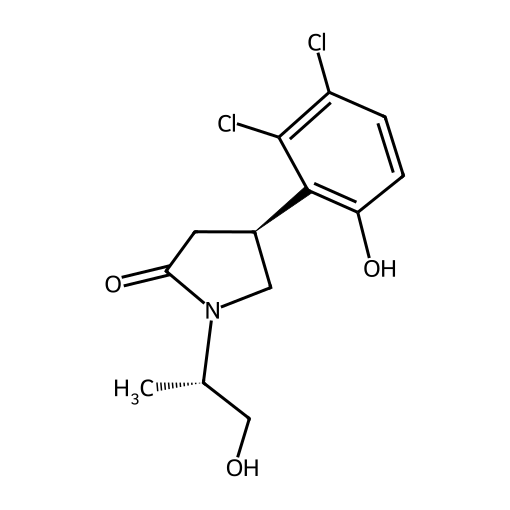 C[C@@H](CO)N1C[C@H](c2c(O)ccc(Cl)c2Cl)CC1=O